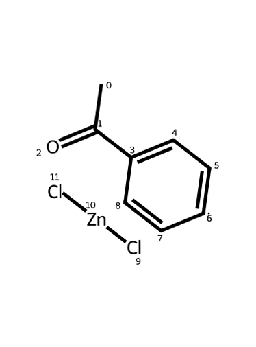 CC(=O)c1cc[c]cc1.[Cl][Zn][Cl]